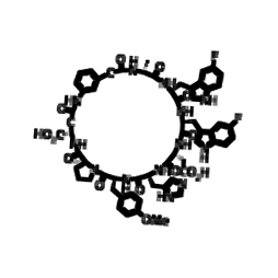 COc1ccc(C[C@@H]2NC(=O)[C@H](Cc3cnc[nH]3)NC(=O)[C@@H](CC(=O)O)NC(=O)[C@H](Cc3c[nH]c4ccc(F)cc34)NC(=O)[C@H](Cc3c[nH]c4ccc(F)cc34)NC(=O)[C@@H](C)NC(=O)Cc3cccc(c3)NC(=O)C[C@@H](C(=O)O)NC(=O)[C@]3(C)CCCN3C2=O)cc1